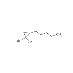 CCCCC[C]1CC1(Br)Br